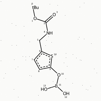 CC(C)(C)OC(=O)NCc1ccc(OB(O)O)s1